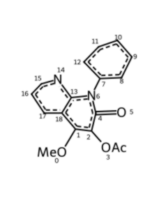 COc1c(OC(C)=O)c(=O)n(-c2ccccc2)c2ncccc12